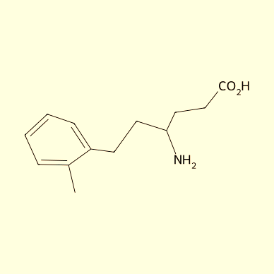 Cc1ccccc1CCC(N)CCC(=O)O